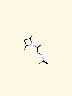 C=C(C)NCC(=O)N1C(C)CC1C#N